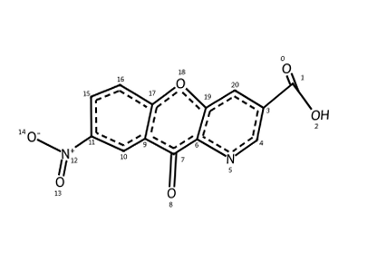 O=C(O)c1cnc2c(=O)c3cc([N+](=O)[O-])ccc3oc2c1